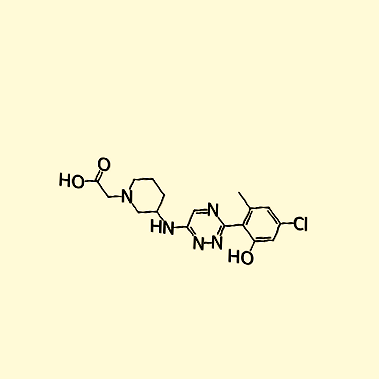 Cc1cc(Cl)cc(O)c1-c1ncc(NC2CCCN(CC(=O)O)C2)nn1